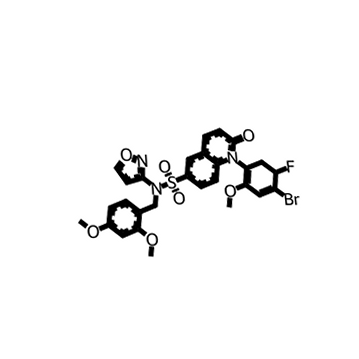 COC1=C(n2c(=O)ccc3cc(S(=O)(=O)N(Cc4ccc(OC)cc4OC)c4ccon4)ccc32)CC(F)C(Br)=C1